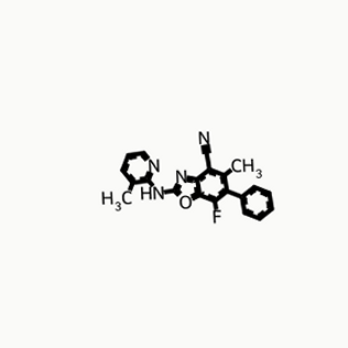 Cc1cccnc1Nc1nc2c(C#N)c(C)c(-c3ccccc3)c(F)c2o1